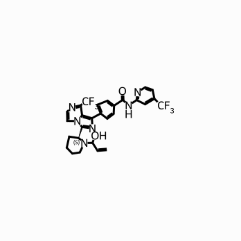 C=CC(O)N1CCCC[C@H]1c1nc(-c2ccc(C(=O)Nc3cc(C(F)(F)F)ccn3)cc2)c2c(C(F)(F)F)nccn12